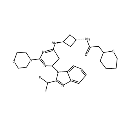 O=C(CC1CCCCO1)N[C@H]1C[C@H](NC2=NC(N3CCOCC3)=NC(n3c(C(F)F)nc4ccccc43)C2)C1